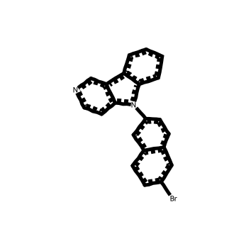 Brc1ccc2cc(-n3c4ccccc4c4cnccc43)ccc2c1